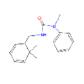 CN(C(=O)NCC1C=CC=CC1(C)C)c1ccccc1